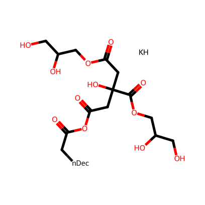 CCCCCCCCCCCC(=O)OC(=O)CC(O)(CC(=O)OCC(O)CO)C(=O)OCC(O)CO.[KH]